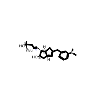 CCCC[C@](C)(O)C/C=C/[C@@H]1[C@H]2CC(Cc3cccc(N(C)C)c3)=C[C@H]2C[C@H]1O